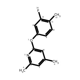 Cc1cc(C)nc(Oc2ccc(C)c(F)c2)c1